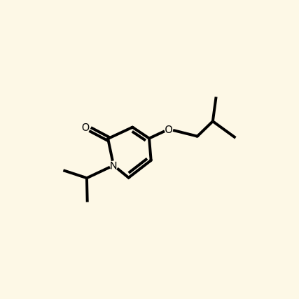 CC(C)COc1ccn(C(C)C)c(=O)c1